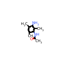 CC(=O)Nc1c(C)cc(C)c(N)c1C